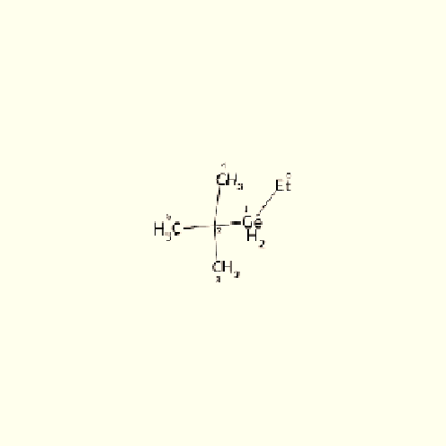 C[CH2][GeH2][C](C)(C)C